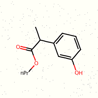 CCCOC(=O)C(C)c1cccc(O)c1